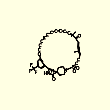 Cc1cc2ccc1CCS(=O)(=O)N1CCC3(CC1)N=C(NC3=O)c1cc(cc(C(F)(F)F)c1)OCCCCCCCCCCN(C)C2=O